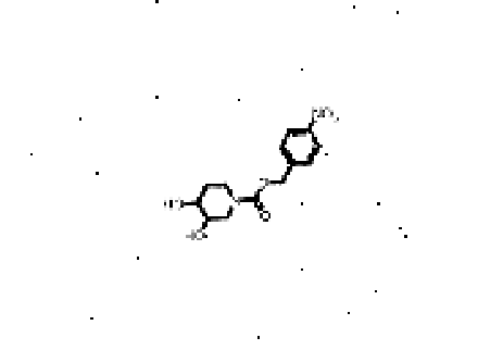 O=C(OCc1ccc([N+](=O)[O-])cc1)N1CCC(O)C(O)C1